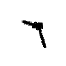 CCCCCCCCCCCCCCCCCC(=O)NC(CO)(CO)COC(=O)CCCCCCCCCCC